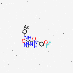 CC(=O)c1ccc(CNC(=O)c2cc(C(=O)NCc3cccc(OC(F)F)c3)nc3ccnn23)cc1